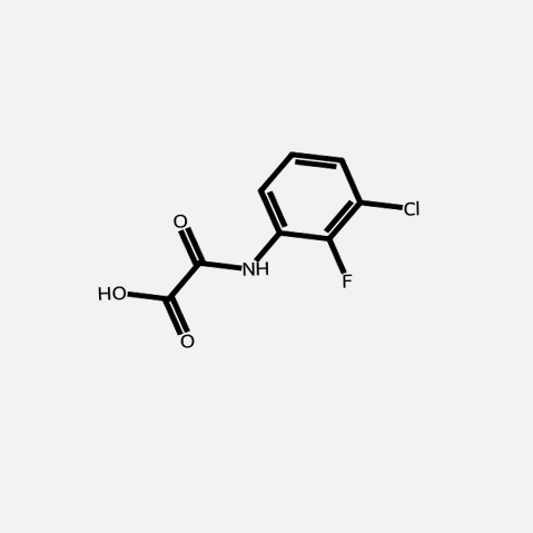 O=C(O)C(=O)Nc1cccc(Cl)c1F